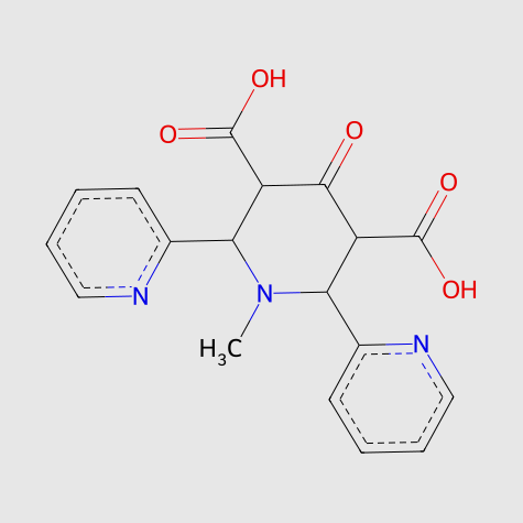 CN1C(c2ccccn2)C(C(=O)O)C(=O)C(C(=O)O)C1c1ccccn1